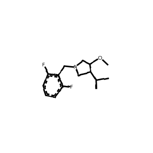 COC1CN(Cc2c(F)cccc2F)CC1C(C)C